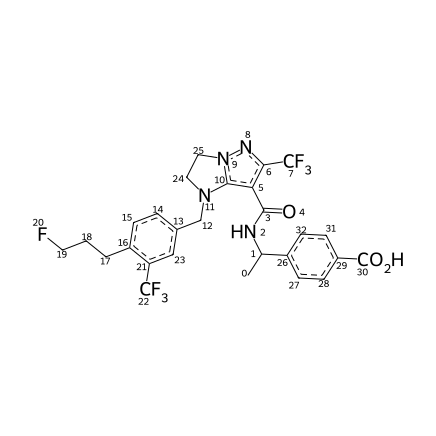 CC(NC(=O)c1c(C(F)(F)F)nn2c1N(Cc1ccc(CCCF)c(C(F)(F)F)c1)CC2)c1ccc(C(=O)O)cc1